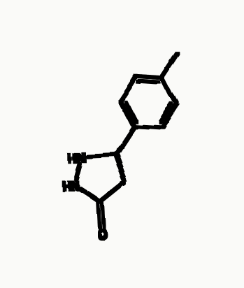 Cc1ccc(C2CC(=O)NN2)cc1